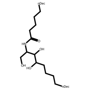 CCCCCCCCCCCCCCC(=O)NC(CO)C(O)C(O)CCCCCCCCCCCCCC